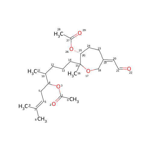 CC(=O)OC(CC=C(C)C)C(C)CCCC1(C)OCC(=CC=O)CC[C@H]1OC(C)=O